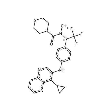 CN(C(=O)C1CCSCC1)[C@@H](c1ccc(Nc2cnc3cccnc3c2C2CC2)cc1)C(F)(F)F